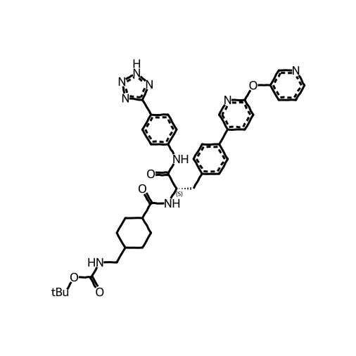 CC(C)(C)OC(=O)NCC1CCC(C(=O)N[C@@H](Cc2ccc(-c3ccc(Oc4cccnc4)nc3)cc2)C(=O)Nc2ccc(-c3nn[nH]n3)cc2)CC1